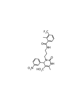 CC1=C(C(=O)O)C(c2cccc([N+](=O)[O-])c2)N(CCCNC(=O)c2cccc(C(F)(F)F)c2C)C(=O)N1